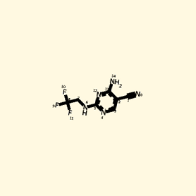 N#Cc1cnc(NCC(F)(F)F)nc1N